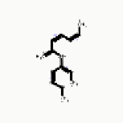 C=C(/C=C\C=C/C)NC(/C=C\CC)=C/C